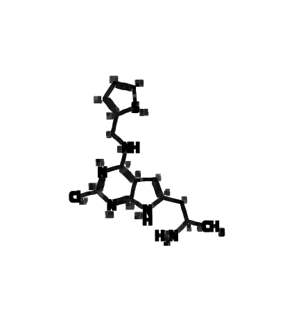 CC(N)Cc1cc2c(NCc3cccs3)nc(Cl)nc2[nH]1